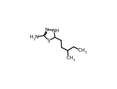 CCC(C)CCC1NN=C(N)S1